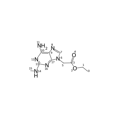 CCOC(=O)Cn1cnc2c(N)nc(NC)nc21